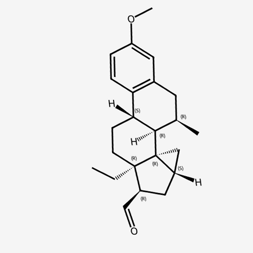 CC[C@]12CC[C@@H]3c4ccc(OC)cc4C[C@@H](C)[C@H]3[C@]13C[C@@H]3C[C@H]2C=O